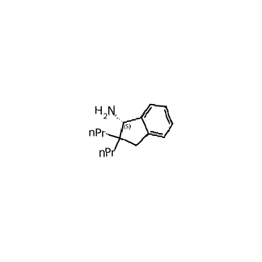 CCCC1(CCC)Cc2ccccc2[C@H]1N